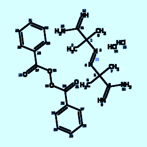 CC(C)(/N=N/C(C)(C)C(=N)N)C(=N)N.Cl.Cl.O=C(OOC(=O)c1ccccc1)c1ccccc1